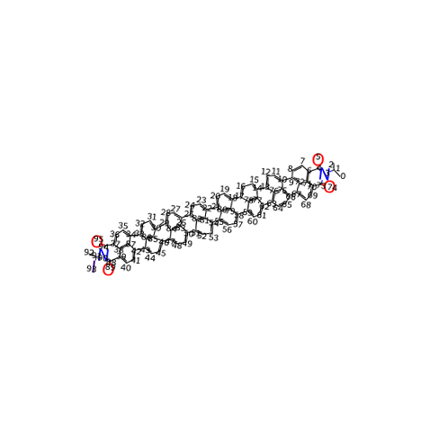 CC(C)N1C(=O)c2ccc3c4ccc5c6ccc7c8ccc9c%10ccc%11c%12ccc%13c%14ccc%15c%16ccc%17c%18c(ccc(c%19ccc(c%20ccc(c%21ccc(c%22ccc(c%23ccc(c%24ccc(c%25ccc(c2c3%25)C1=O)c4c5%24)c6c7%23)c8c9%22)c%10c%11%21)c%12c%13%20)c%14c%15%19)c%18%16)C(=O)N(C(C)I)C%17=O